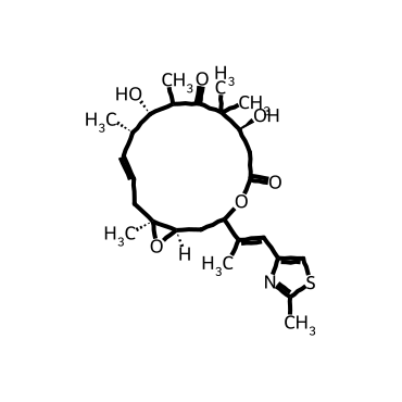 C/C(=C\c1csc(C)n1)C1C[C@H]2O[C@@]2(C)C/C=C/[C@H](C)[C@H](O)C(C)C(=O)C(C)(C)[C@@H](O)CC(=O)O1